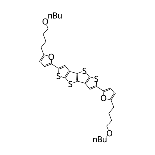 CCCCOCCCCc1ccc(-c2cc3c(s2)sc2c4cc(-c5ccc(CCCCOCCCC)o5)sc4sc32)o1